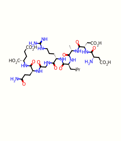 CC(C)C[C@H](NC(=O)[C@H](C)NC(=O)[C@H](CC(=O)O)NC(=O)[C@@H](N)CC(=O)O)C(=O)N[C@@H](CCCNC(=N)N)C(=O)NCC(=O)N[C@@H](CCC(N)=O)C(=O)N[C@@H](CCC(=O)O)C(=O)O